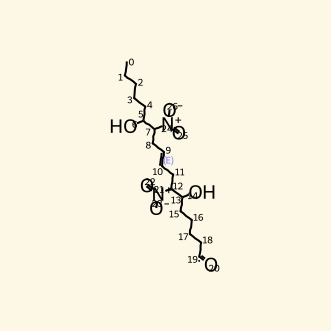 CCCCCC(O)C(C/C=C/CC(C(O)CCCC[C]=O)[N+](=O)[O-])[N+](=O)[O-]